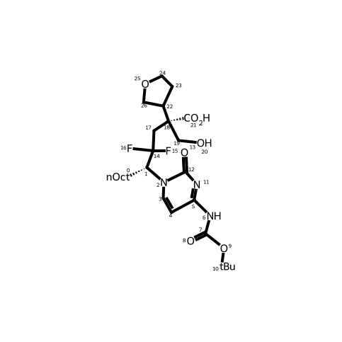 CCCCCCCC[C@@H](n1ccc(NC(=O)OC(C)(C)C)nc1=O)C(F)(F)C[C@@](CO)(C(=O)O)C1CCOC1